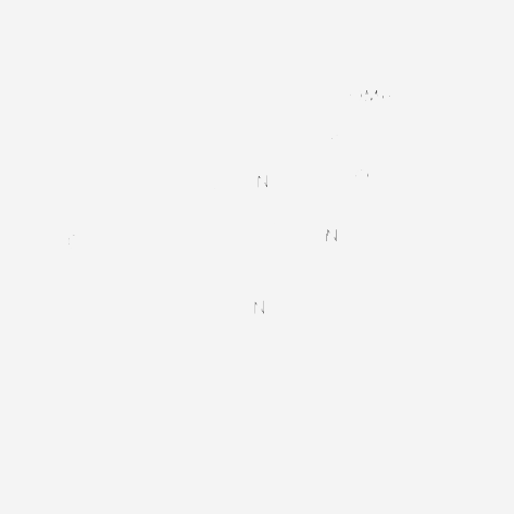 COC(=O)Cn1c2ccc(Cl)cc2c2nc3cc(C)c(C)cc3nc21